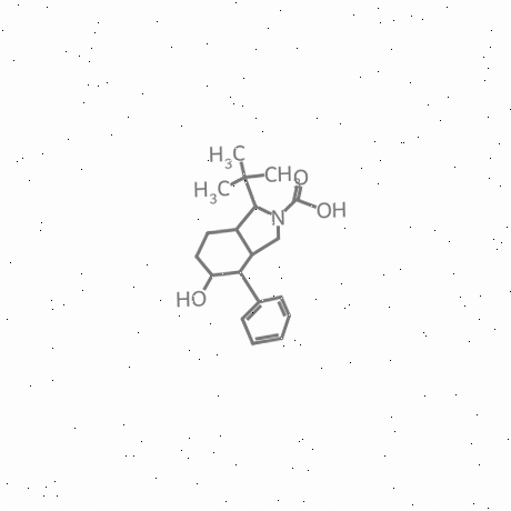 CC(C)(C)C1C2CCC(O)C(c3ccccc3)C2CN1C(=O)O